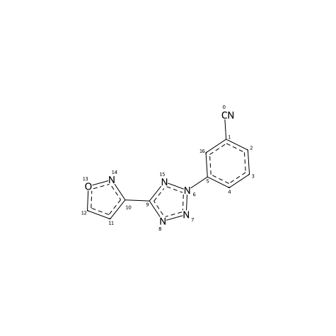 N#Cc1cccc(-n2nnc(-c3ccon3)n2)c1